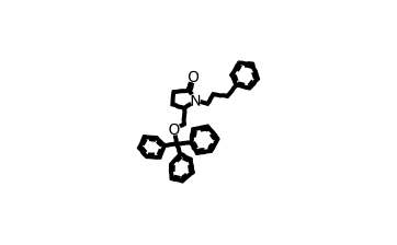 O=C1CCC(COC(c2ccccc2)(c2ccccc2)c2ccccc2)N1CCCc1ccccc1